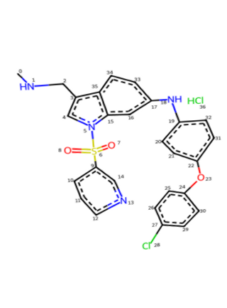 CNCc1cn(S(=O)(=O)c2cccnc2)c2cc(Nc3ccc(Oc4ccc(Cl)cc4)cc3)ccc12.Cl